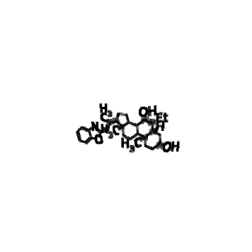 CC[C@H]1[C@@H](O)C2C3CC[C@H]([C@H](C)Cc4nc5ccccc5o4)[C@@]3(C)CCC2[C@@]2(C)CC[C@@H](O)C[C@@H]12